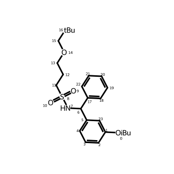 CC(C)COc1cccc(C(NS(=O)(=O)CCCOCC(C)(C)C)c2ccccc2)c1